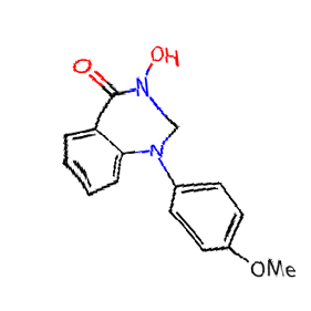 COc1ccc(N2CN(O)C(=O)c3ccccc32)cc1